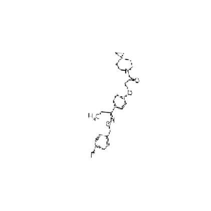 CCC(=NOCc1ccc(F)cc1)c1ccc(OCC(=O)N2CCC3(CC2)CC3)cc1